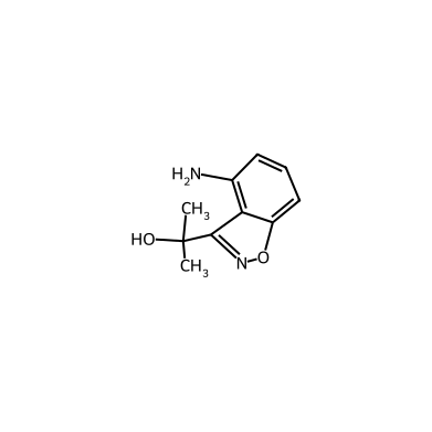 CC(C)(O)c1noc2cccc(N)c12